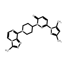 Cc1cc(C)n(-c2ccc(=O)n(C3CCN(c4nccn5c(C)nnc45)CC3)n2)n1